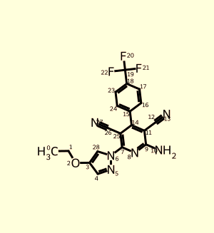 CCOc1cnn(-c2nc(N)c(C#N)c(-c3ccc(C(F)(F)F)cc3)c2C#N)c1